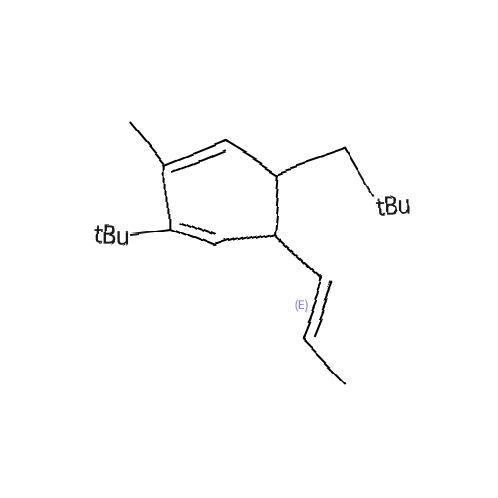 C/C=C/C1C=C(C(C)(C)C)C(C)=CC1CC(C)(C)C